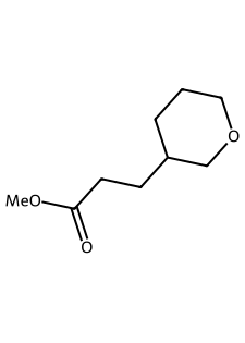 COC(=O)CCC1CCCOC1